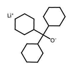 [Li+].[O-]C(C1CCCCC1)(C1CCCCC1)C1CCCCC1